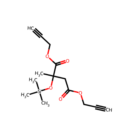 C#CCOC(=O)CC(C)(O[Si](C)(C)C)C(=O)OCC#C